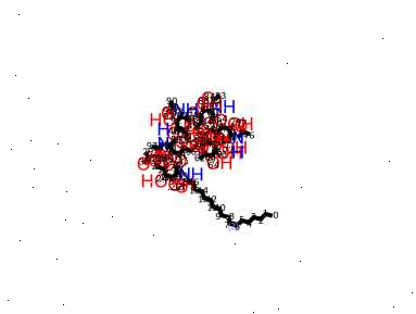 CCCCCC/C=C\CCCCCCCCCC(=O)N[C@H]1C(O)[C@H](O)C(COC(C)=O)O[C@H]1O[C@@H]1C(CO)O[C@@H](O[C@@H]2C(CO)O[C@@H](O[C@@H]3C(CO)O[C@@H](O[C@@H]4C(CO[C@@H]5OC(C)[C@@H](O)[C@@H](O)C5OC)O[C@@H](O)[C@@H](NC(C)=O)C4O)[C@@H](NC(C)=O)C3O)[C@@H](NC(C)=O)C2O)[C@@H](NC(C)=O)C1O